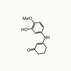 COc1ccc(NC2=CC(=O)CCC2)cc1O